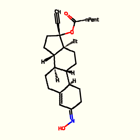 C#C[C@]1(OC(=O)CCCCC)CC[C@H]2[C@@H]3CCC4=CC(=NO)CC[C@@H]4[C@H]3CC[C@@]21CC